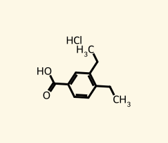 CCc1ccc(C(=O)O)cc1CC.Cl